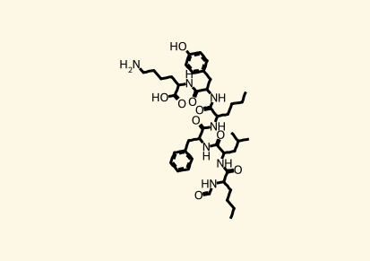 CCCCC(NC=O)C(=O)NC(CC(C)C)C(=O)NC(Cc1ccccc1)C(=O)NC(CCCC)C(=O)NC(Cc1ccc(O)cc1)C(=O)NC(CCCCN)C(=O)O